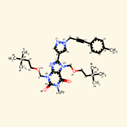 CCCn1c(=O)c2c(nc(-c3cnn(CC#Cc4ccc(C)cc4)c3)n2COCC[Si](C)(C)C)n(COCC[Si](C)(C)C)c1=O